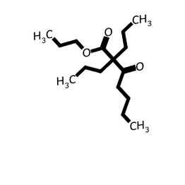 CCCCC(=O)C(CCC)(CCC)C(=O)OCCC